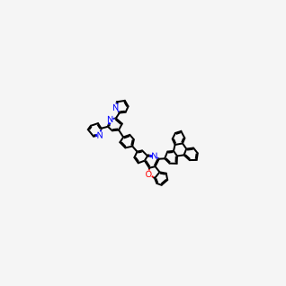 c1ccc(-c2cc(-c3ccc(-c4ccc5c(c4)nc(-c4ccc6c7ccccc7c7ccccc7c6c4)c4c6ccccc6oc54)cc3)cc(-c3ccccn3)n2)nc1